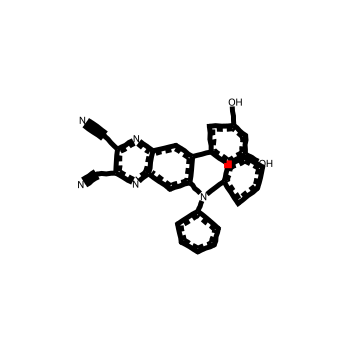 N#Cc1nc2cc(-c3cc(O)cc(O)c3)c(N(c3ccccc3)c3ccccc3)cc2nc1C#N